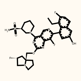 CCc1c(F)ccc2cc(O)cc(-c3ncc4c(N5CCC[C@H](S(N)(=O)=O)C5)nc(OC[C@@]56CCCN5C[C@H](F)C6)nc4c3F)c12